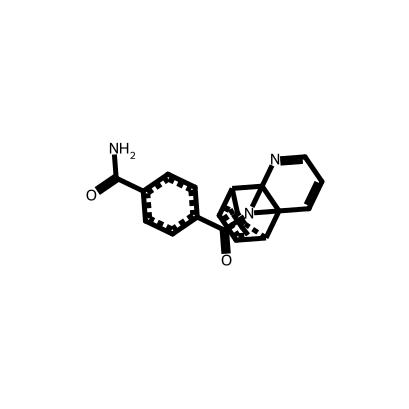 NC(=O)c1ccc(C(=O)N2C34C=CC=NC23c2ccc4cc2)cc1